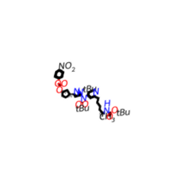 C[C@@H](CCCCc1cc(N(C(=O)OC(C)(C)C)c2cc([C@H]3CC[C@@H](OC(=O)Oc4ccc([N+](=O)[O-])cc4)C3)nn2C(C)(C)C)ccn1)NC(=O)OC(C)(C)C